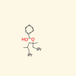 CC(C)CC(C)CC(C)(CC(C)C)OC(O)c1ccccc1